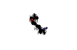 C=C(/C=C\C=C/C)[C@@H](NC(=O)OC)C(=O)N1[C@@H]2[C@H](C)[C@@H]2C[C@H]1c1nc2ccc3cc(-c4ccc5c(ccc6nc([C@@H]7[C@H]8CC[C@H](C8)N7C(=O)[C@H](NC(=O)OC)c7ccccc7)[nH]c65)c4)ccc3c2[nH]1